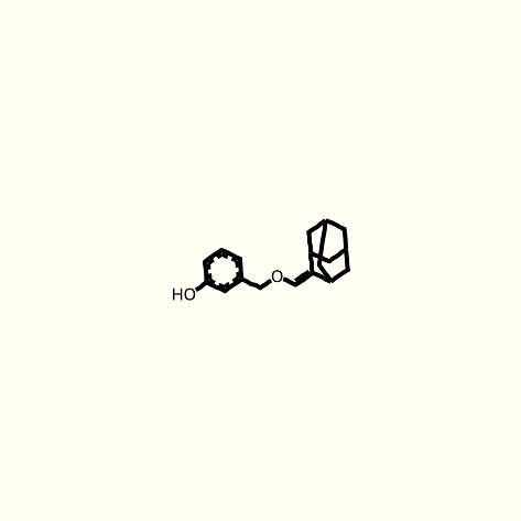 Oc1cccc(COC=C2C3CC4CC(C3)CC2C4)c1